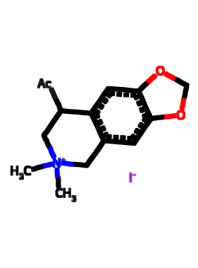 CC(=O)C1C[N+](C)(C)Cc2cc3c(cc21)OCO3.[I-]